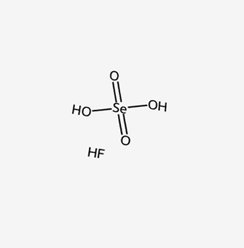 F.O=[Se](=O)(O)O